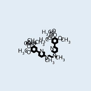 COc1cc(-c2ccc(N(C)CCN(C)c3ccc(-c4cc(OC)c(OS(C)(=O)=O)c(OC)c4)nc3)cn2)cc(OC)c1OS(C)(=O)=O